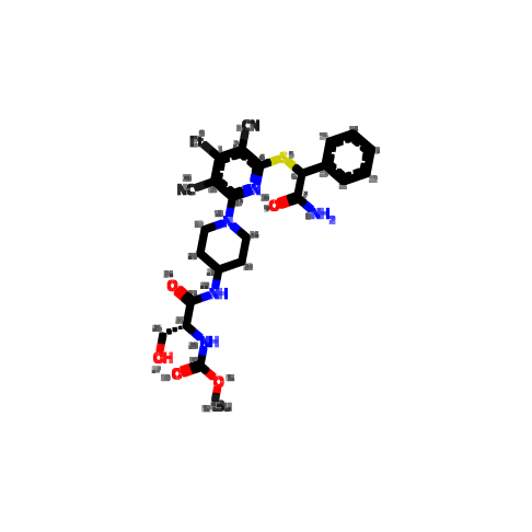 CCc1c(C#N)c(SC(C(N)=O)c2ccccc2)nc(N2CCC(NC(=O)[C@@H](CO)NC(=O)OC(C)(C)C)CC2)c1C#N